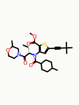 CC[C@@H](C(=O)N1CCOC(C)C1)N(C(=O)C1CCC(C)CC1)c1cc(C#CC(C)(C)C)sc1C(=O)OC